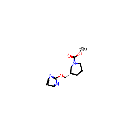 CC(C)(C)OC(=O)N1CCC[C@H](COc2ncccn2)C1